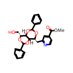 COC(=O)c1ccnc(C[C@H]2OC(c3ccccc3)O[C@H]3[C@H]2OC(c2ccccc2)O[C@@H]3CO)c1